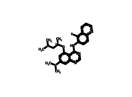 C[C@H](CN(C)C)Oc1cc(N(C)C)cc2ncnc(Nc3ccc4ncccc4c3F)c12